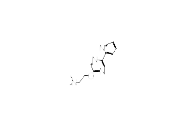 CN(C)CCOc1cnc(-c2ccccn2)cn1